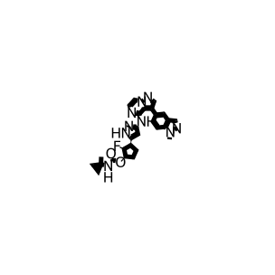 Cn1ncc2cc(-c3cnn4ccnc(Nc5cc([C@@H]6CC[C@H](OC(=O)NC7(C)CC7)[C@@H]6F)[nH]n5)c34)ccc21